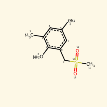 COc1c(C)cc(C(C)(C)C)cc1CS(C)(=O)=O